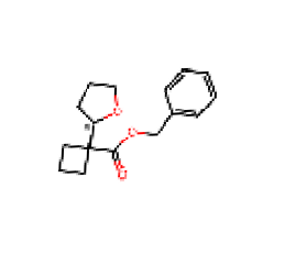 O=C(OCc1ccccc1)C1([C@H]2CCCO2)CCC1